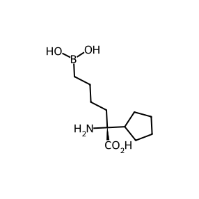 N[C@@](CCCCB(O)O)(C(=O)O)C1CCCC1